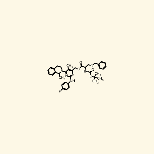 Cc1c(COC(=O)C(COCc2ccccc2)NC(=O)OC(C)(C)C)nc(Nc2ccc(F)cc2)nc1N1CCc2ccccc2C1C